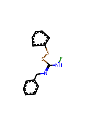 FNC(=NCc1ccccc1)SSc1ccccc1